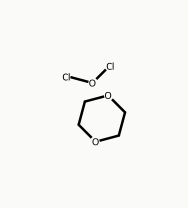 C1COCCO1.ClOCl